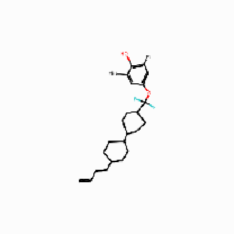 C=CCCC1CCC(C2CCC(C(F)(F)Oc3cc(CC)c(O)c(C(C)(C)C)c3)CC2)CC1